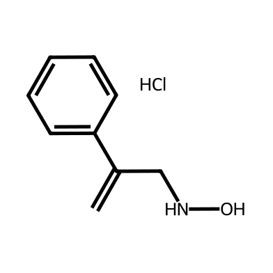 C=C(CNO)c1ccccc1.Cl